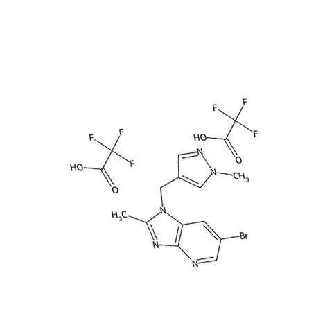 Cc1nc2ncc(Br)cc2n1Cc1cnn(C)c1.O=C(O)C(F)(F)F.O=C(O)C(F)(F)F